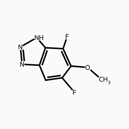 COc1c(F)cc2nn[nH]c2c1F